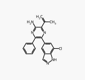 C=C(C)c1nc(-c2cc(Cl)c3[nH]ncc3c2)c(-c2ccccc2)nc1N